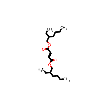 CCCCC(CC)COC(=O)C=CC(=O)OCC(CC)CCCC